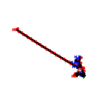 CC[C@@]1(O)C(=O)OCc2c1cc1n(c2=O)Cc2c-1nc1cc(F)c(C)c3c1c2[C@@H](NC(=O)COP(=O)(O)OCc1ccc(NC(=O)[C@H](CCCNC(N)=O)NC(=O)[C@@H](N)C(C)C)cc1CN(C)C(=O)NCCOCCOCCOCCOCCOCCOCCOCCOCCOCCOCCOCCOCCOCCOCCOCCOCCOCCOCCOCCOCCOCCOCCOCCOCCC(=O)O)CC3